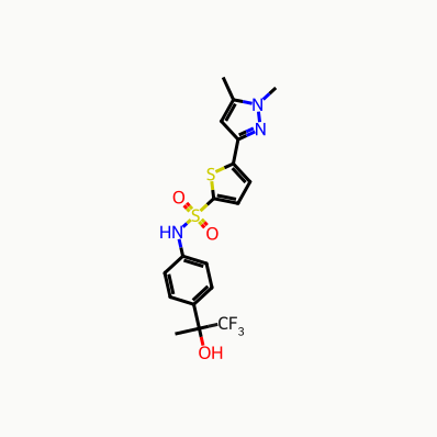 Cc1cc(-c2ccc(S(=O)(=O)Nc3ccc(C(C)(O)C(F)(F)F)cc3)s2)nn1C